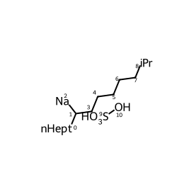 CCCCCCC[CH]([Na])CCCCCC(C)C.O=S(=O)(O)O